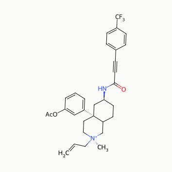 C=CC[N@@+]1(C)CC[C@@]2(c3cccc(OC(C)=O)c3)C[C@@H](NC(=O)C#Cc3ccc(C(F)(F)F)cc3)CCC2C1